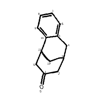 O=C1CC2Cc3ccccc3C(C1)C2